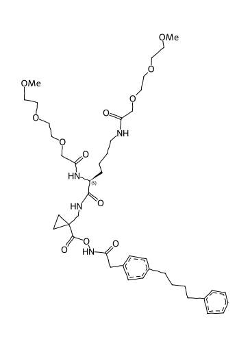 COCCOCCOCC(=O)NCCCC[C@H](NC(=O)COCCOCCOC)C(=O)NCC1(C(=O)ONC(=O)Cc2ccc(CCCCc3ccccc3)cc2)CC1